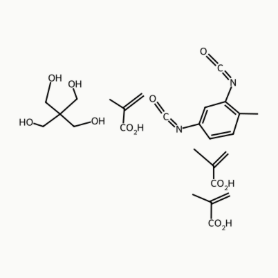 C=C(C)C(=O)O.C=C(C)C(=O)O.C=C(C)C(=O)O.Cc1ccc(N=C=O)cc1N=C=O.OCC(CO)(CO)CO